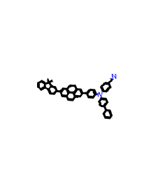 CC1(C)c2ccccc2-c2ccc(-c3cc4ccc5cc(-c6ccc(N(c7ccc(C#N)cc7)c7ccc(-c8ccccc8)cc7)cc6)cc6ccc(c3)c4c56)cc21